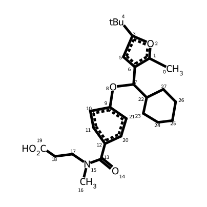 Cc1oc(C(C)(C)C)cc1C(Oc1ccc(C(=O)N(C)CCC(=O)O)cc1)C1CCCCC1